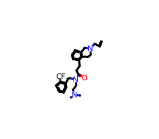 C=CCN1CCc2c(CCC(=O)N(CCN(C)C)Cc3ccccc3C(F)(F)F)cccc2C1